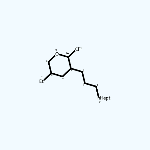 CCCCCCCCCCC1CC(CC)COC1Cl